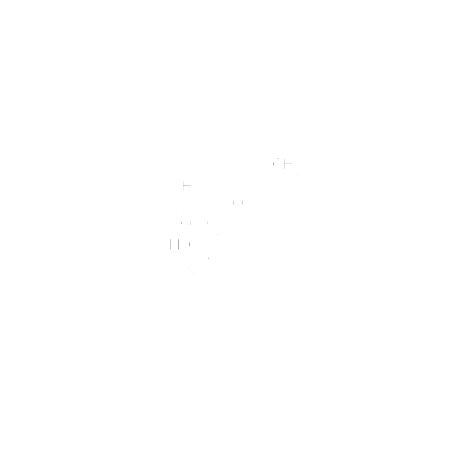 C=CC(=O)OC(C)C(=O)OC1(C)CSCCCCS1